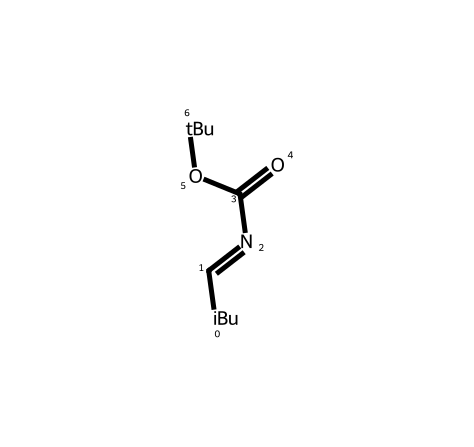 [CH2]C(C=NC(=O)OC(C)(C)C)CC